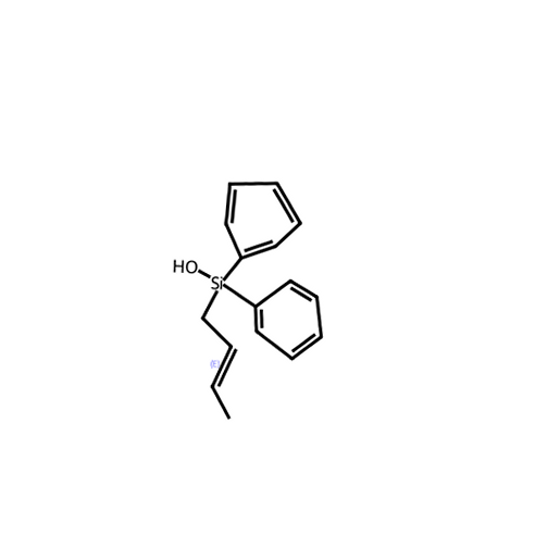 C/C=C/C[Si](O)(c1ccccc1)c1ccccc1